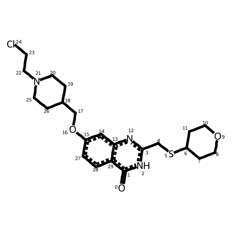 O=c1[nH]c(CSC2CCOCC2)nc2cc(OCC3CCN(CCCl)CC3)ccc12